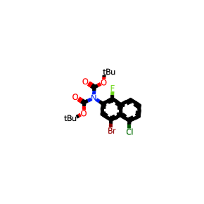 CC(C)(C)OC(=O)N(C(=O)OC(C)(C)C)c1cc(Br)c2c(Cl)cccc2c1F